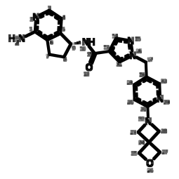 Nc1nccc2c1CC[C@H]2NC(=O)c1cnn(Cc2ccc(N3CC4(COC4)C3)nc2)c1